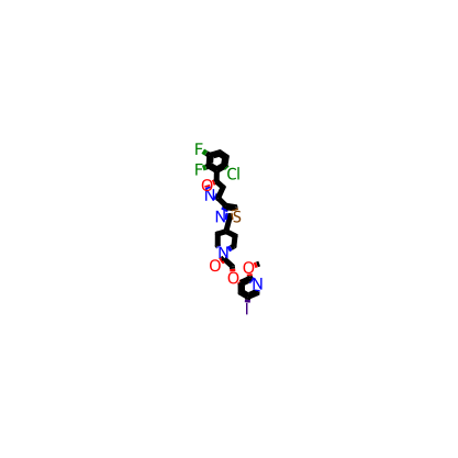 COc1ncc(I)cc1OCC(=O)N1CCC(c2nc(C3=NOC(c4c(Cl)ccc(F)c4F)C3)cs2)CC1